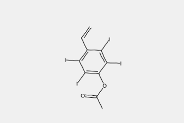 C=Cc1c(I)c(I)c(OC(C)=O)c(I)c1I